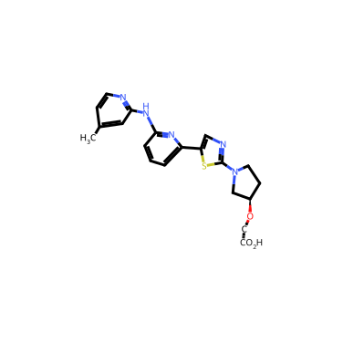 Cc1ccnc(Nc2cccc(-c3cnc(N4CC[C@@H](OCC(=O)O)C4)s3)n2)c1